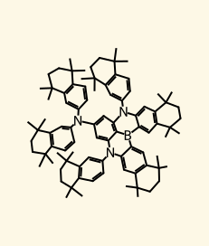 CC1(C)CCC(C)(C)c2cc(N(c3cc4c5c(c3)N(c3ccc6c(c3)C(C)(C)CCC6(C)C)c3cc6c(cc3B5c3cc5c(cc3N4c3ccc4c(c3)C(C)(C)CCC4(C)C)C(C)(C)CCC5(C)C)C(C)(C)CCC6(C)C)c3ccc4c(c3)C(C)(C)CCC4(C)C)ccc21